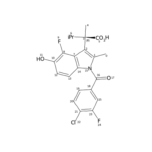 Cc1c([C@](C)(C(=O)O)C(C)C)c2c(F)c(O)ccc2n1C(=O)c1ccc(Cl)c(F)c1